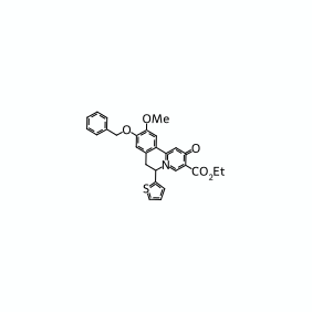 CCOC(=O)c1cn2c(cc1=O)-c1cc(OC)c(OCc3ccccc3)cc1CC2c1cccs1